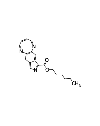 CCCCCCOC(=O)C1=NC=C2CC3=C(C=C21)N=CC=CC=N3